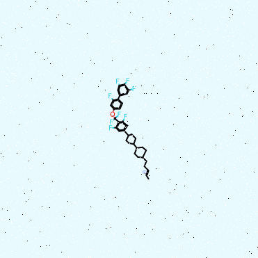 C/C=C/CCC1CCC(C2CCC(c3cc(F)c(C(F)(F)Oc4ccc(-c5cc(F)c(F)c(F)c5)c(F)c4)c(F)c3)CC2)CC1